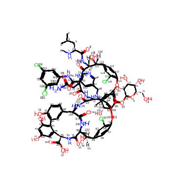 CN[C@@H](CC(C)C)C(=O)N[C@H]1C(=O)N[C@@H](CC(N)=O)C(=O)NC2C(=O)N[C@@H]3C(=O)N[C@@H](C(=O)N[C@@H](C(=O)O)c4cc(O)cc(O)c4-c4cc3ccc4O)[C@H](O)c3ccc(c(Cl)c3)Oc3cc2cc(c3OC2O[C@@H](CO)[C@@H](O)[C@@H](O)[C@H]2O[C@H]2CC(C)(NCc3cncc(C(=O)Nc4cc(Cl)cc(Cl)c4)c3)[C@@H](O)[C@@H](C)O2)Oc2ccc(cc2Cl)[C@H]1O